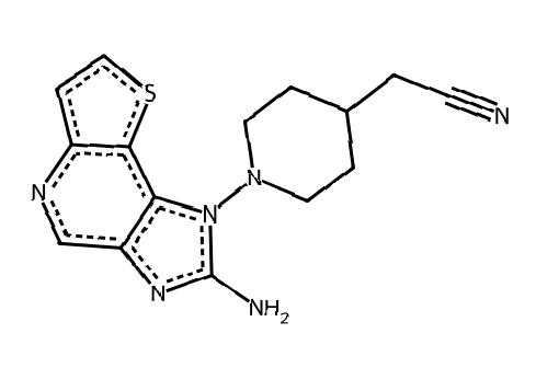 N#CCC1CCN(n2c(N)nc3cnc4ccsc4c32)CC1